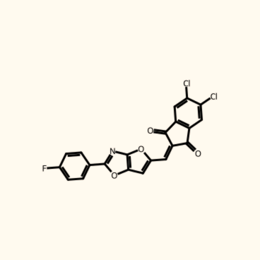 O=C1C(=Cc2cc3oc(-c4ccc(F)cc4)nc3o2)C(=O)c2cc(Cl)c(Cl)cc21